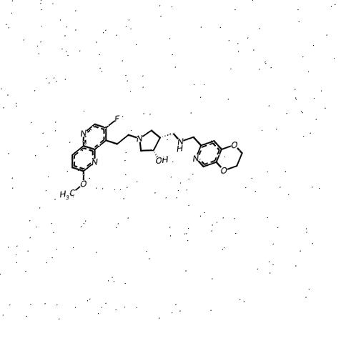 COc1ccc2ncc(F)c(CCN3C[C@H](CNCc4cc5c(cn4)OCCO5)[C@H](O)C3)c2n1